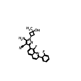 C[C@]1(O)C[C@@H](n2nc(-c3ccc4ccc(-c5ccccc5F)nc4c3F)c(C#N)c2N)C1